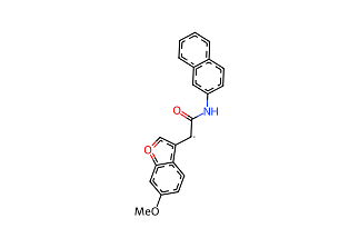 COc1ccc2c([CH]C(=O)Nc3ccc4ccccc4c3)coc2c1